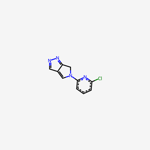 Clc1cccc(N2C=C3C=NN=C3C2)n1